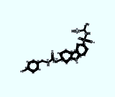 CC(C)C(NS(=O)(=O)c1ccc2oc3cc(NC(=O)NCc4ccc(F)cc4)ccc3c2c1)C(=O)O